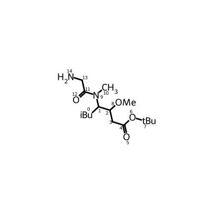 CCC(C)C(C(CC(=O)OC(C)(C)C)OC)N(C)C(=O)CN